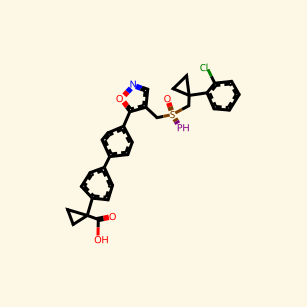 O=C(O)C1(c2ccc(-c3ccc(-c4oncc4CS(=O)(=P)CC4(c5ccccc5Cl)CC4)cc3)cc2)CC1